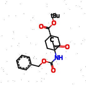 CC(C)(C)OC(=O)C12CCC(NC(=O)OCc3ccccc3)(CC1)C(=O)C2